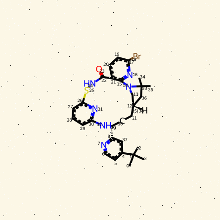 CC(C)(C)c1ccnc([C@H]2CC[C@@H]3CN(c4nc(Br)ccc4C(=O)NSc4cccc(n4)N2)C(C)(C)C3)c1